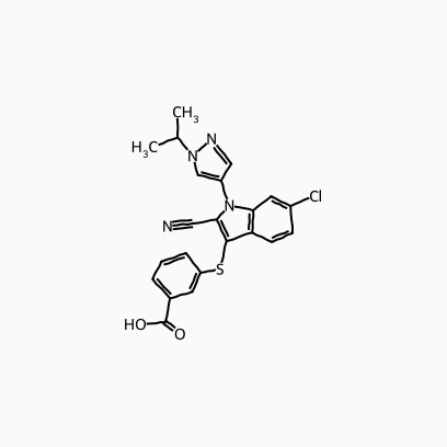 CC(C)n1cc(-n2c(C#N)c(Sc3cccc(C(=O)O)c3)c3ccc(Cl)cc32)cn1